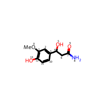 COc1cc(C(O)CC(N)=O)ccc1O